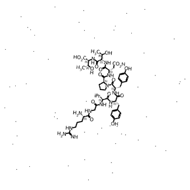 CC(C)[C@H](NC(=O)CNC(=O)[C@@H](N)CCCNC(=N)N)C(=O)N[C@@H](Cc1ccc(O)cc1)C(=O)N[C@@H](Cc1ccc(O)cc1)C(=O)N1CCC[C@H]1C(=O)N[C@@H](CC(=O)O)C(=O)N[C@H](C(=O)N[C@H](C(=O)O)[C@@H](C)O)[C@@H](C)O